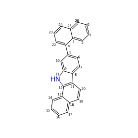 c1ccc2c(-c3ccc4c(c3)[nH]c3c5ccccc5ccc43)cccc2c1